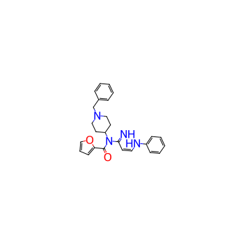 N=C(/C=C\Nc1ccccc1)N(C(=O)c1ccco1)C1CCN(Cc2ccccc2)CC1